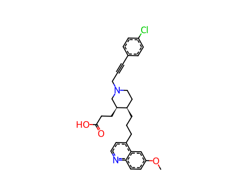 COc1ccc2nccc(CCC[C@@H]3CCN(CC#Cc4ccc(Cl)cc4)C[C@@H]3CCC(=O)O)c2c1